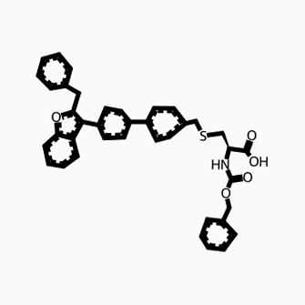 O=C(N[C@@H](CSCc1ccc(-c2ccc(-c3c(Cc4ccccc4)oc4ccccc34)cc2)cc1)C(=O)O)OCc1ccccc1